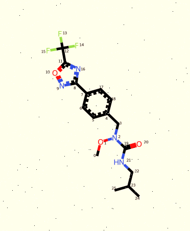 CON(Cc1ccc(-c2noc(C(F)(F)F)n2)cc1)C(=O)NCC(C)C